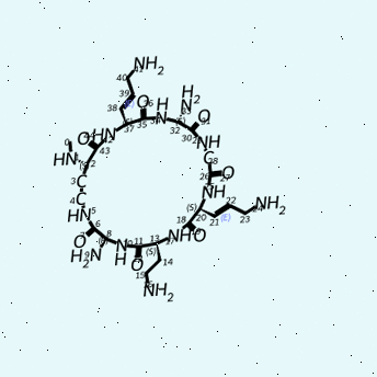 CN[C@H]1CCNC(=O)[C@H](N)NC(=O)[C@H](CCN)NC(=O)[C@H](/C=C/CN)NC(=O)CNC(=O)[C@@H](N)NC(=O)[C@H](/C=C/CN)NC1=O